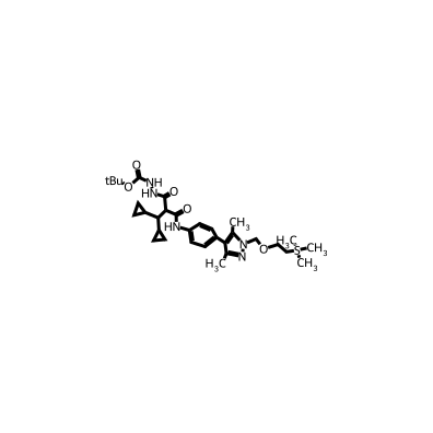 Cc1nn(COCCS(C)(C)C)c(C)c1-c1ccc(NC(=O)C(C(=O)NNC(=O)OC(C)(C)C)C(C2CC2)C2CC2)cc1